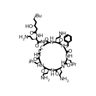 CC[C@H](C)CC[C@@H](O)CC(=O)N[C@H](CCN)C(=O)N[C@H]1CCNC(=O)[C@H](CC(C)C)NC(=O)[C@H](CCN)NC(=O)[C@H](CCN)NC(=O)[C@H](CC(C)C)NC(=O)[C@@H](Cc2ccccc2)NC(=O)[C@H](CCN)NC1=O